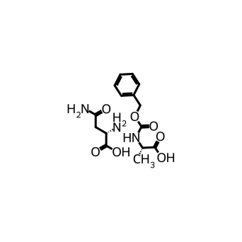 C[C@H](NC(=O)OCc1ccccc1)C(=O)O.NC(=O)C[C@H](N)C(=O)O